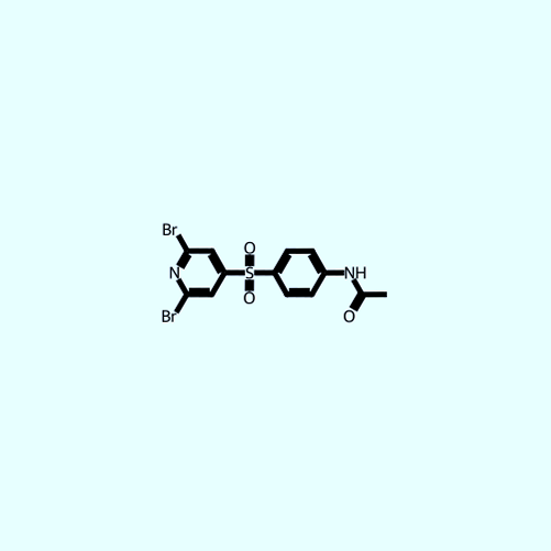 CC(=O)Nc1ccc(S(=O)(=O)c2cc(Br)nc(Br)c2)cc1